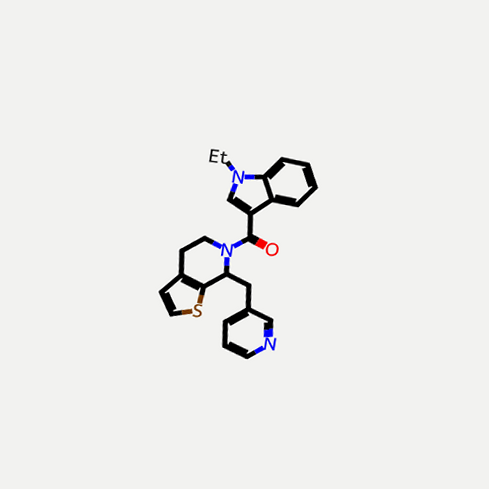 CCn1cc(C(=O)N2CCc3ccsc3C2Cc2cccnc2)c2ccccc21